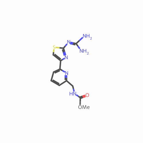 COC(=O)NCc1cccc(-c2csc(N=C(N)N)n2)n1